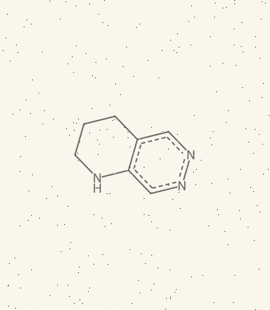 c1nncc2c1CCCN2